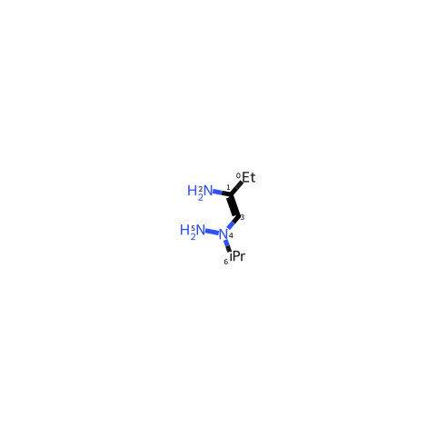 CC/C(N)=C/N(N)C(C)C